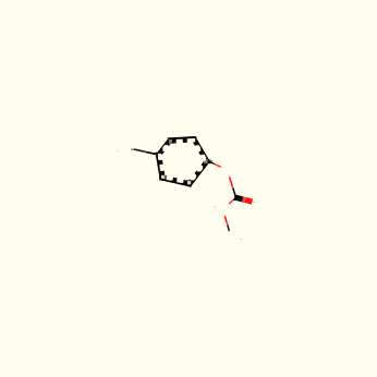 [CH2]CC[CH]c1ccc(OC(=O)OC(C)(C)C)cc1